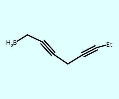 BCC#CCC#CCC